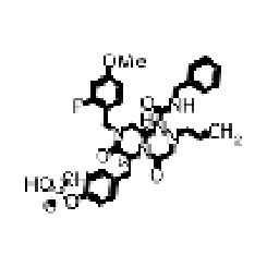 C=CCN1CC(=O)N2[C@@H](Cc3ccc(OP(=O)(O)O)cc3)C(=O)N(Cc3ccc(OC)cc3F)C[C@@H]2N1C(=O)NCc1ccccc1